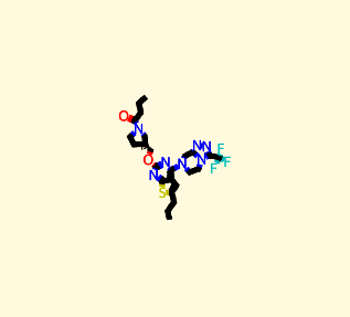 CCCC(=O)N1CC[C@H](COc2nc(N3CCn4c(nnc4C(F)(F)F)C3)c3cc(CCC)sc3n2)C1